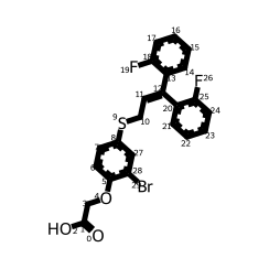 O=C(O)COc1ccc(SCC=C(c2ccccc2F)c2ccccc2F)cc1Br